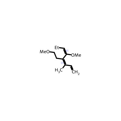 C=C/C(C)=C(CCOC)\C(=C/CC)OC